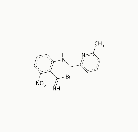 Cc1cccc(CNc2cccc([N+](=O)[O-])c2C(=N)Br)n1